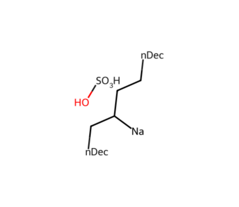 CCCCCCCCCCCC[CH]([Na])CCCCCCCCCCC.O=S(=O)(O)O